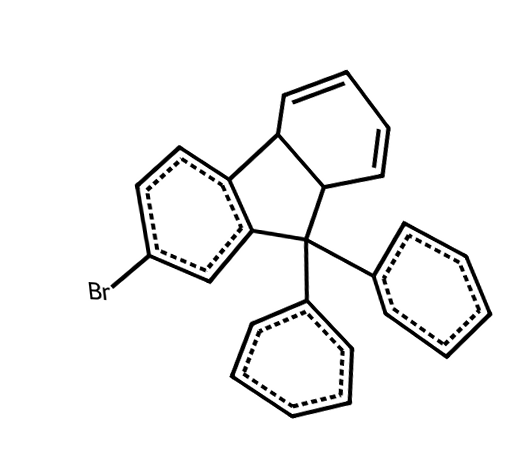 Brc1ccc2c(c1)C(c1ccccc1)(c1ccccc1)C1C=CC=CC21